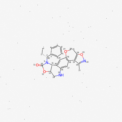 CC[C@H](c1ccccc1)N1C(=O)OC2CNc3cc(-c4c(C)noc4C)c(OC)cc3C21